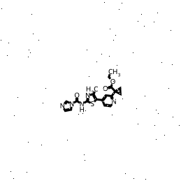 CCOC(=O)C1(c2cc(-c3sc(NC(=O)n4ccnc4)nc3C)ccn2)CC1